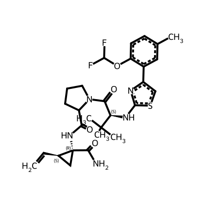 C=C[C@@H]1C[C@]1(NC(=O)C1CCCN1C(=O)[C@@H](Nc1nc(-c2cc(C)ccc2OC(F)F)cs1)C(C)(C)C)C(N)=O